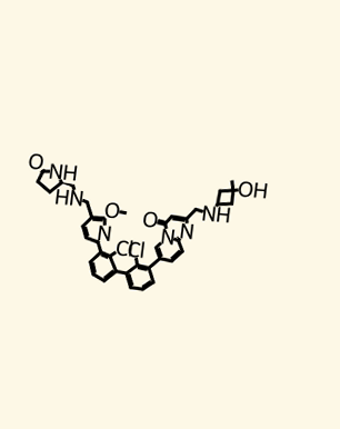 COc1nc(-c2cccc(-c3cccc(-c4ccc5nc(CNC6CC(C)(O)C6)cc(=O)n5c4)c3Cl)c2Cl)ccc1CNC[C@H]1CCC(=O)N1